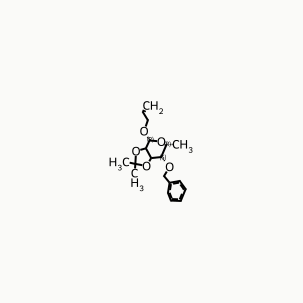 C=CCO[C@@H]1O[C@H](C)[C@H](OCc2ccccc2)C2OC(C)(C)OC21